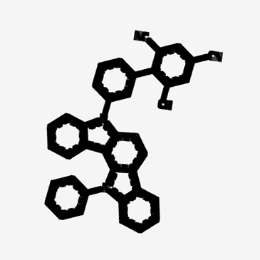 N#Cc1cc(C#N)c(-c2cccc(-n3c4ccccc4c4c3ccc3c5ccccc5n(-c5ccccc5)c34)c2)c(C#N)c1